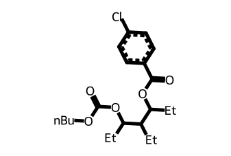 CCCCOC(=O)OC(CC)C(CC)C(CC)OC(=O)c1ccc(Cl)cc1